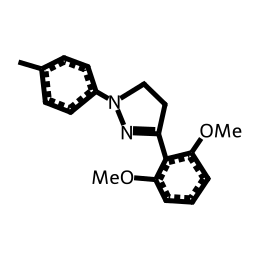 COc1cccc(OC)c1C1=NN(c2ccc(C)cc2)CC1